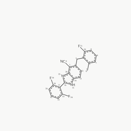 N#Cc1c(Cc2c(F)cccc2F)ccc2[nH]c(-c3c(F)cccc3F)nc12